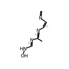 C=N\C=C/N=C(C)/N=C/NO